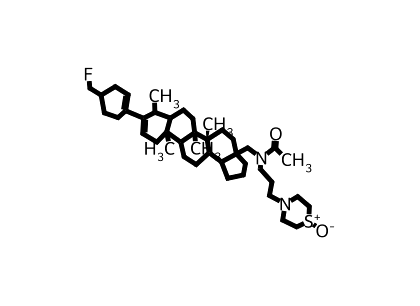 CC(=O)N(CCCN1CC[S+]([O-])CC1)CC12CCCC1C1CCC3C4(C)CC=C(C5=CCC(CF)CC5)C(C)C4CCC3(C)[C@]1(C)CC2